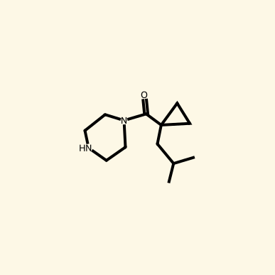 CC(C)CC1(C(=O)N2CCNCC2)CC1